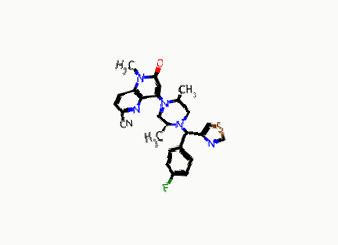 C[C@H]1CN(C(c2ccc(F)cc2)c2cscn2)[C@@H](C)CN1c1cc(=O)n(C)c2ccc(C#N)nc12